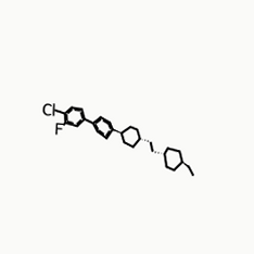 CC[C@H]1CC[C@H](CC[C@H]2CC[C@H](c3ccc(-c4ccc(Cl)c(F)c4)cc3)CC2)CC1